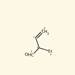 C=CC([C]=O)CC